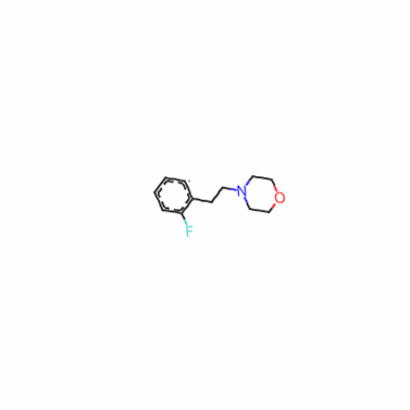 Fc1ccc[c]c1CCN1CCOCC1